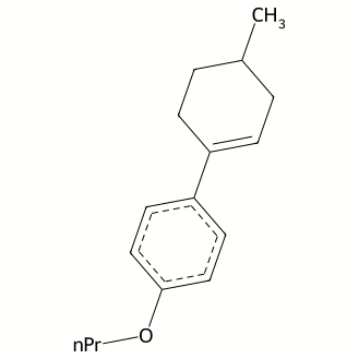 CCCOc1ccc(C2=CCC(C)CC2)cc1